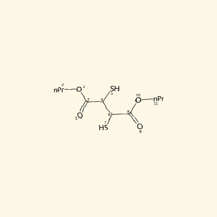 CCCOC(=O)C(S)C(S)C(=O)OCCC